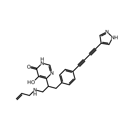 C=CCNCC(Cc1ccc(C#CC#Cc2cn[nH]c2)cc1)c1nc[nH]c(=O)c1O